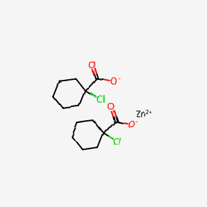 O=C([O-])C1(Cl)CCCCC1.O=C([O-])C1(Cl)CCCCC1.[Zn+2]